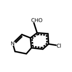 O=Cc1cc(Cl)cc2c1C=NCC2